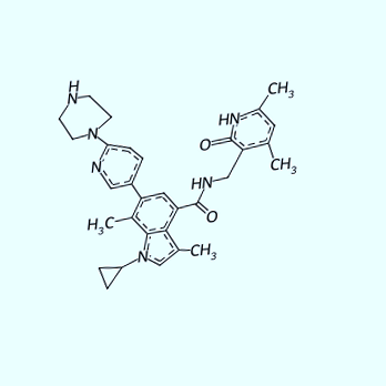 Cc1cc(C)c(CNC(=O)c2cc(-c3ccc(N4CCNCC4)nc3)c(C)c3c2c(C)cn3C2CC2)c(=O)[nH]1